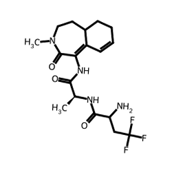 C[C@H](NC(=O)C(N)CC(F)(F)F)C(=O)NC1=C2C=CCCC2CCN(C)C1=O